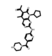 CC(=O)c1c(C)c2cnc(Nc3ccc(C(=O)N4CCNCC4)cn3)nc2n(C2CCCC2)c1=O